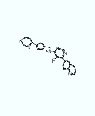 Fc1c(NCc2ccc(-c3ccncn3)cc2)ncnc1-c1ccc2ncccc2c1